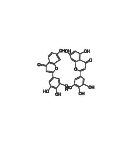 O=c1cc(-c2cc(O)c(O)c(O)c2)oc2cc(O)cc(O)c12.O=c1cc(-c2cc(O)c(O)c(O)c2)oc2cc(O)ccc12